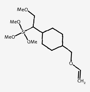 C=COCC1CCC(C(COC)[Si](OC)(OC)OC)CC1